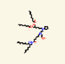 CCCCCCCCC(CCCCCC)CNC(=O)CCCCCN(CCO)CCN(CCCCC(COC(=O)CCCCCCC)COC(=O)CCCCCCC)C1CCCC1